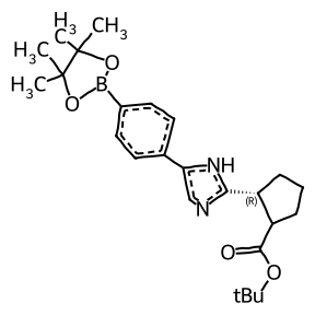 CC(C)(C)OC(=O)C1CCC[C@H]1c1ncc(-c2ccc(B3OC(C)(C)C(C)(C)O3)cc2)[nH]1